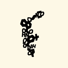 COc1c(NC(=O)C(=O)c2ccc(OCCN3CCOCC3)c3ccccc23)cc(C(C)(C)C)cc1C(=O)NCc1ccc(C)o1